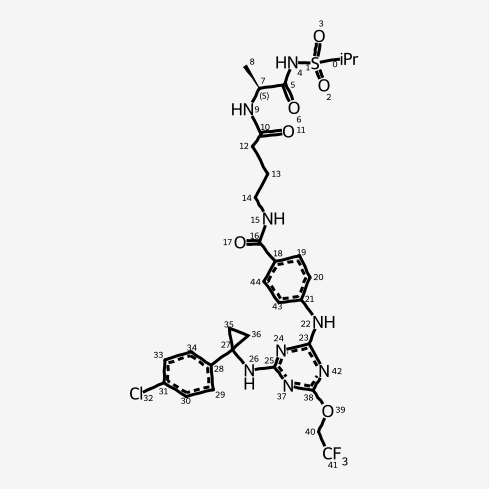 CC(C)S(=O)(=O)NC(=O)[C@H](C)NC(=O)CCCNC(=O)c1ccc(Nc2nc(NC3(c4ccc(Cl)cc4)CC3)nc(OCC(F)(F)F)n2)cc1